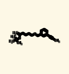 C=C(CCCCOCc1cccc(C#CC)c1)O[Si](C)(C)C